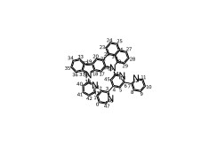 c1ccc(-c2cc(-c3ccccn3)nc(N3c4cc5c(cc4-c4cccc6cccc3c46)c3ccccc3n5-c3ccccn3)c2)nc1